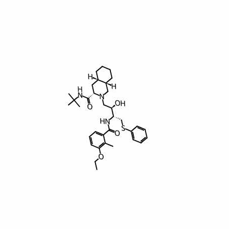 CCOc1cccc(C(=O)N[C@@H](CSc2ccccc2)[C@H](O)CN2C[C@H]3CCCC[C@H]3C[C@H]2C(=O)NC(C)(C)C)c1C